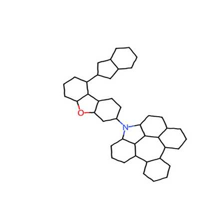 C1CCC2CC(C3CCCC4OC5CC(N6C7CCCC8C9CCCCC9C9CCCC%10CCC6C(C%109)C87)CCC5C43)CC2C1